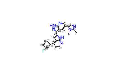 Cc1ncc(-c2cnc3[nH]nc(-c4cc5c(-c6cccc(F)c6)ccnc5[nH]4)c3c2)n1C